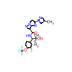 Cc1cnn(-c2ccn3ncc(C(=O)NC(c4ccc(OC(F)(F)F)c(F)c4)C(C)(C)O)c3n2)c1